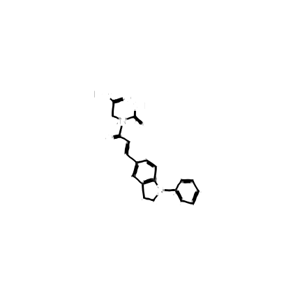 O=C(O)CN(C(=O)/C=C/c1ccc2c(c1)CCN2c1ccccc1)C(=S)S